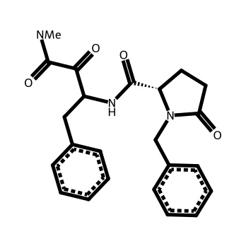 CNC(=O)C(=O)C(Cc1ccccc1)NC(=O)[C@@H]1CCC(=O)N1Cc1ccccc1